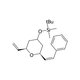 C=C[C@H]1CC(O[Si](C)(C)C(C)(C)C)C[C@@H](/C=C\c2ccccc2)O1